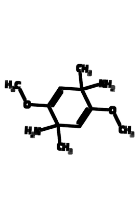 COC1=CC(C)(N)C(OC)=CC1(C)N